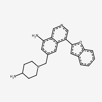 Nc1cc(CN2CCC(N)CC2)cc2c(-c3cc4ccccc4o3)cncc12